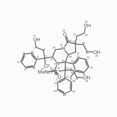 CNC(=O)N1C(C(CCO)(c2ccccc2)C(F)(F)F)CN2C(=O)C(CCO)(CCO)CC2C1(c1ccccc1C)C(CCO)(c1ccccc1)C(F)(F)F